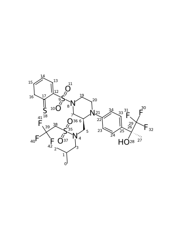 CC(C)CN(C[C@H]1CN(S(=O)(=O)C2=CC=CCC2=S)CCN1c1ccc([C@](C)(O)C(F)(F)F)cc1)S(=O)(=O)CC(F)(F)F